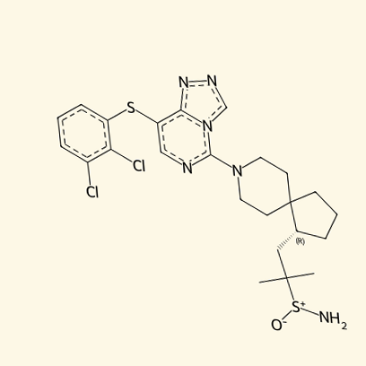 CC(C)(C[C@H]1CCCC12CCN(c1ncc(Sc3cccc(Cl)c3Cl)c3nncn13)CC2)[S+](N)[O-]